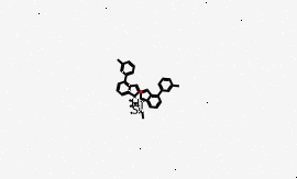 CC[Si](C)=[Hf]([CH3])([CH3])([CH]1C=Cc2c(-c3cccc(C)c3)cccc21)[CH]1C=Cc2c(-c3cccc(C)c3)cccc21